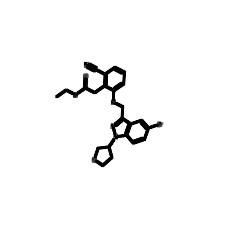 CCOC(=O)Cc1c(C#N)cccc1OCc1nn(C2CCOC2)c2ccc(Br)cc12